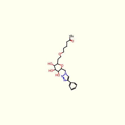 CC(C)(C)C(=O)CCCCOCCC1OC(Cn2cc(-c3ccccc3)nn2)C(O)C(O)C1O